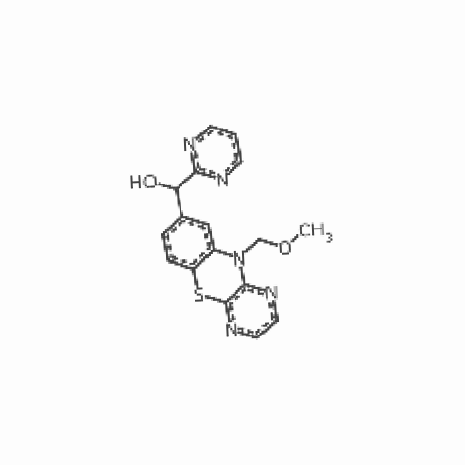 COCN1c2cc(C(O)c3ncccn3)ccc2Sc2nccnc21